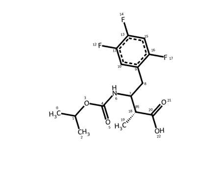 CC(C)OC(=O)NC(Cc1cc(F)c(F)cc1F)[C@@H](C)C(=O)O